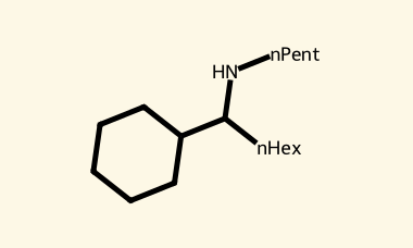 CCCCCCC(NCCCCC)C1CCCCC1